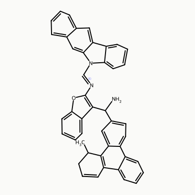 CC1CC=Cc2c1c1cc(C(N)c3c(/N=C/n4c5ccccc5c5cc6ccccc6cc54)oc4ccccc34)ccc1c1ccccc21